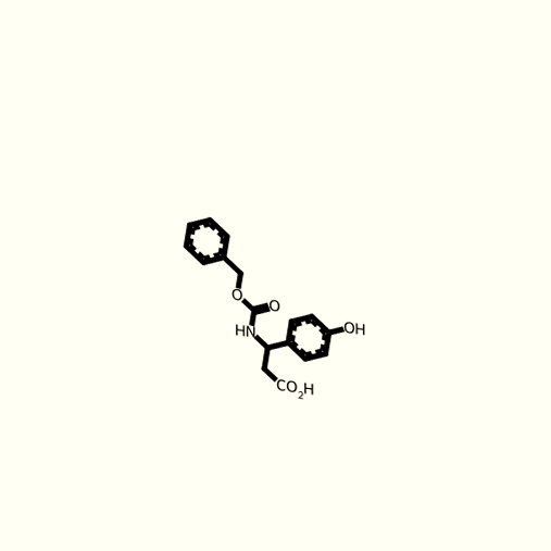 O=C(O)CC(NC(=O)OCc1ccccc1)c1ccc(O)cc1